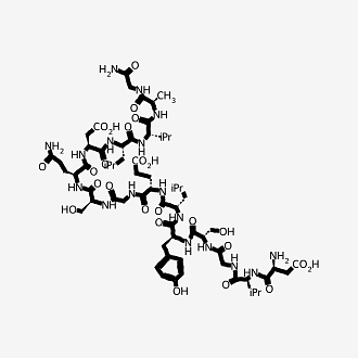 CC(C)C[C@H](NC(=O)[C@H](Cc1ccc(O)cc1)NC(=O)[C@H](CO)NC(=O)CNC(=O)[C@@H](NC(=O)[C@@H](N)CC(=O)O)C(C)C)C(=O)N[C@@H](CCC(=O)O)C(=O)NCC(=O)N[C@@H](CO)C(=O)N[C@@H](CCC(N)=O)C(=O)N[C@@H](CC(=O)O)C(=O)N[C@@H](CC(C)C)C(=O)N[C@H](C(=O)N[C@@H](C)C(=O)NCC(N)=O)C(C)C